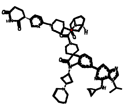 CC(C)n1cnc2cc(-c3ccc4c(c3)N([C@H]3C[C@@H](N5CCCCC5)C3)C(=O)C43CCN(C(=O)[C@@H]4CC5CC[C@@H](C4)N5C(=O)C4CCN(c5ccc([C@H]6CCC(=O)NC6=O)cn5)CC4)CC3)nc(NC3CC3)c21